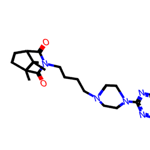 CC12CCC(C(=O)N(CCCCN3CCN(c4ncccn4)CC3)C1=O)C2(C)C